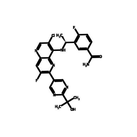 C[C@@H](Nc1c(Cl)cnc2cc(F)c(-c3cnc(C(C)(C)O)nc3)nc12)c1cc(C(N)=O)ccc1F